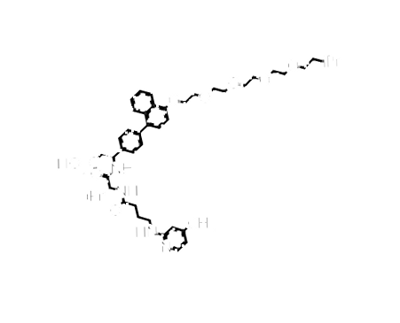 Cc1ccnc(NCCCC(=O)N[C@@H](C(=O)N[C@@H](CC(=O)O)c2ccc(-c3ccc(OCCOCCOCCOCCOCCC(C)C)c4ccccc34)cc2)C(C)C)c1